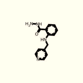 NNC(=O)c1ccccc1NCc1ccncc1